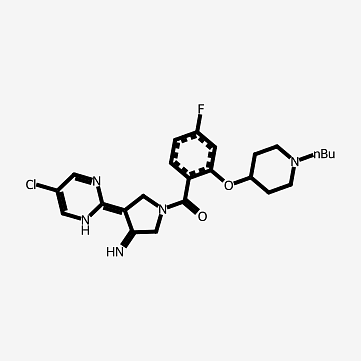 CCCCN1CCC(Oc2cc(F)ccc2C(=O)N2CC(=N)/C(=C3/N=CC(Cl)=CN3)C2)CC1